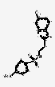 CCCCCc1ccc(S(=O)(=O)NCCc2nc3ccc(C)cc3o2)cc1